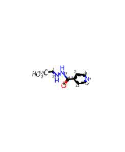 O=C(O)CNNC(=O)c1ccncc1